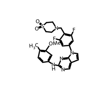 COc1cc(Nc2ncc3ccn(-c4cc(F)c(CN5CCS(=O)(=O)CC5)c(F)c4)c3n2)ccc1C